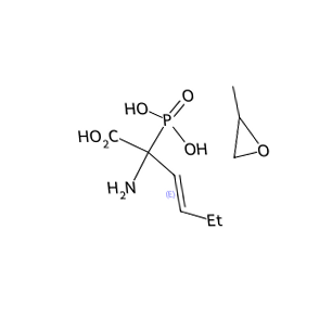 CC/C=C/C(N)(C(=O)O)P(=O)(O)O.CC1CO1